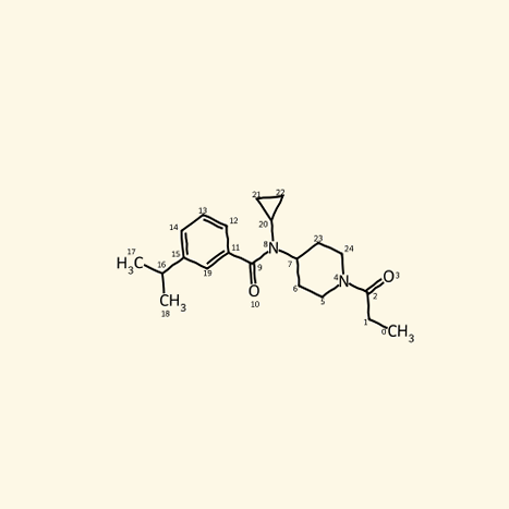 CCC(=O)N1CCC(N(C(=O)c2cccc(C(C)C)c2)C2CC2)CC1